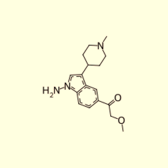 COCC(=O)c1ccc2c(c1)c(C1CCN(C)CC1)cn2N